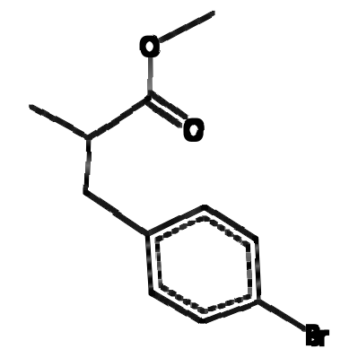 COC(=O)C(C)Cc1ccc(Br)cc1